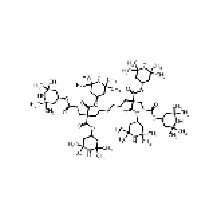 CC1(C)CC(OC(=O)CCC(CCCCCCC(CCC(=O)OC2CC(C)(C)NC(C)(C)C2)(C(=O)OC2CC(C)(C)NC(C)(C)C2)C(=O)OC2CC(C)(C)NC(C)(C)C2)(C(=O)OC2CC(C)(C)NC(C)(C)C2)C(=O)OC2CC(C)(C)NC(C)(C)C2)CC(C)(C)N1